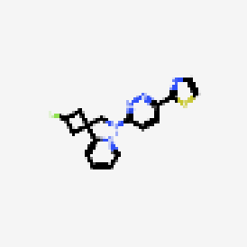 FC1CC(CNc2ccc(-c3nccs3)nn2)(c2ccccn2)C1